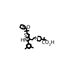 Cc1cc(C)cc(-c2[nH]c3sc(C(C)(C)C(=O)N4C5CCC4CC5)cc3c2CCN2CCC(C(C)(C)C(=O)O)CC2)c1